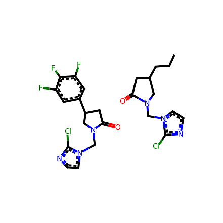 CCCC1CC(=O)N(Cn2ccnc2Cl)C1.O=C1CC(c2cc(F)c(F)c(F)c2)CN1Cn1ccnc1Cl